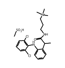 CC(C(=O)NCCC[N+](C)(C)C)c1ccccc1Nc1c(Cl)cccc1Cl.CS(=O)(=O)O